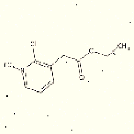 CCOC(=O)Cc1ccc[n+]([O-])c1Cl